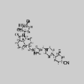 N#Cc1ccc(N2CCN(Cc3cnn(Cc4ccc5c6c(cccc46)C(=O)N5[C@H]4CCC(=O)NC4=O)c3)CC2)c(F)c1